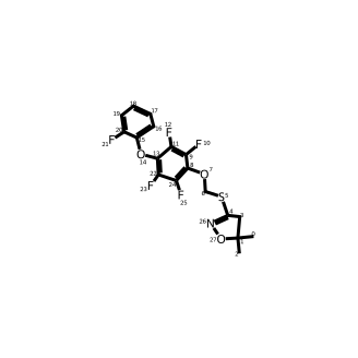 CC1(C)CC(SCOc2c(F)c(F)c(Oc3ccccc3F)c(F)c2F)=NO1